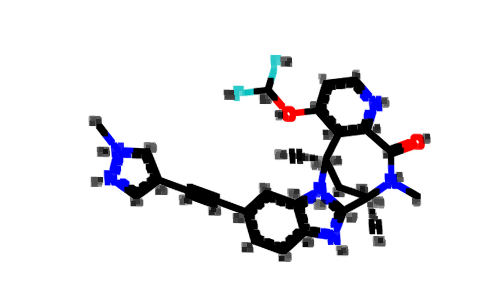 CN1C(=O)c2nccc(OC(F)F)c2[C@H]2C[C@@H]1c1nc3ccc(C#Cc4cnn(C)c4)cc3n12